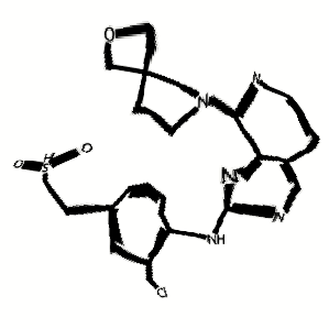 O=[SH](=O)Cc1ccc(Nc2ncc3ccnc(N4CCC5(COC5)C4)c3n2)c(Cl)c1